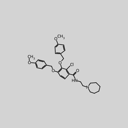 COc1ccc(COc2ccc(C(=O)NCCN3CCCCCC3)c(Cl)c2OCc2ccc(OC)cc2)cc1